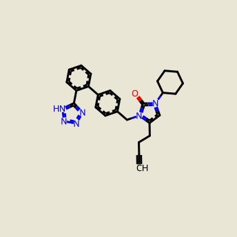 C#CCCc1cn(C2CCCCC2)c(=O)n1Cc1ccc(-c2ccccc2-c2nnn[nH]2)cc1